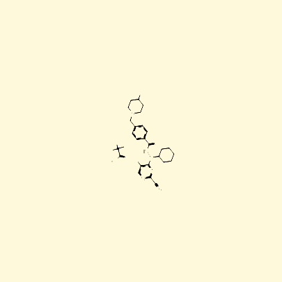 N#Cc1ncc(Br)c(N(NC(=O)c2ccc(CN3CCC(O)CC3)cc2)C2CCCCC2)n1.O=C(O)C(F)(F)F